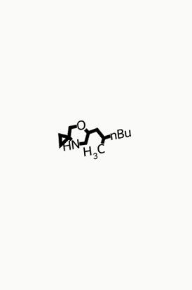 CCCCC(C)CC1CNC2(CC2)CO1